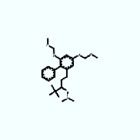 COCOc1cc(CCC(O[SiH](C)C)C(C)(C)C)c(-c2ccccc2)c(OCOC)c1